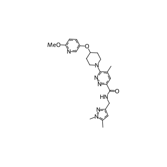 COc1ccc(OC2CCN(c3nnc(C(=O)NCc4cc(C)n(C)n4)cc3C)CC2)cn1